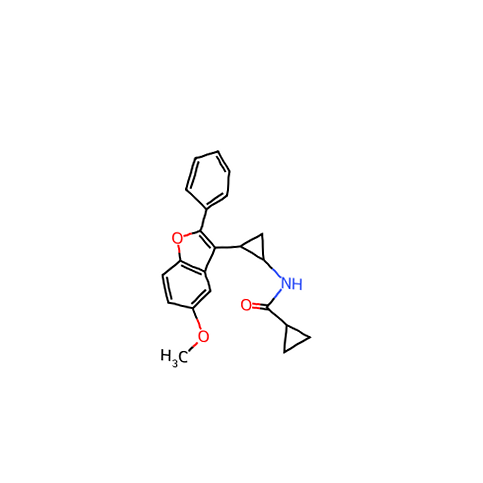 COc1ccc2oc(-c3ccccc3)c(C3CC3NC(=O)C3CC3)c2c1